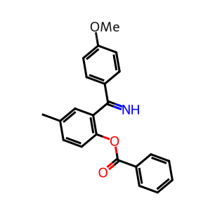 COc1ccc(C(=N)c2cc(C)ccc2OC(=O)c2ccccc2)cc1